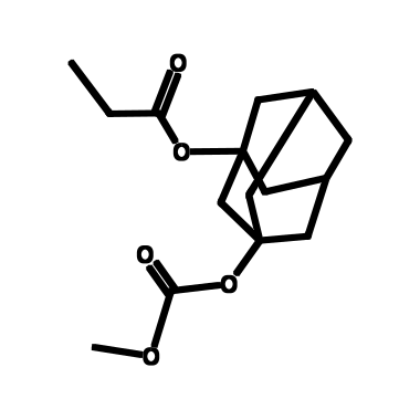 CCC(=O)OC12CC3CC(C1)CC(OC(=O)OC)(C3)C2